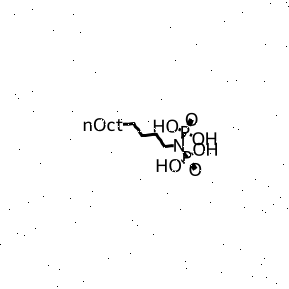 CCCCCCCCCCCCN(P(=O)(O)O)P(=O)(O)O